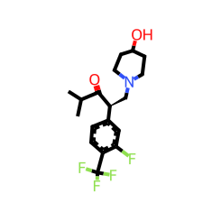 CC(C)C(=O)[C@@H](CN1CCC(O)CC1)c1ccc(C(F)(F)F)c(F)c1